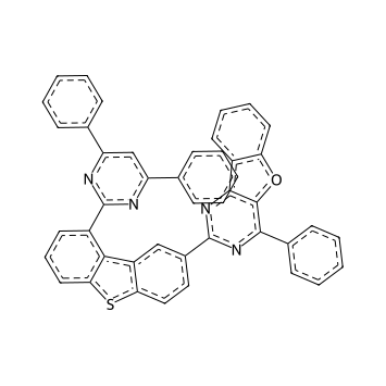 c1ccc(-c2cc(-c3ccccc3)nc(-c3cccc4sc5ccc(-c6nc(-c7ccccc7)c7oc8ccccc8c7n6)cc5c34)n2)cc1